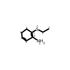 CCSC1=C(N)C=CCC1